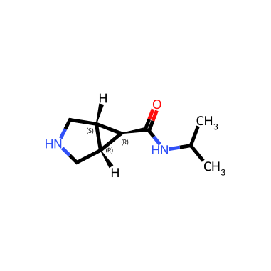 CC(C)NC(=O)[C@H]1[C@@H]2CNC[C@@H]21